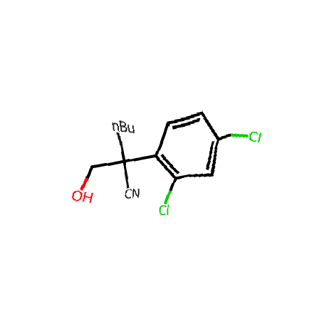 CCCCC(C#N)(CO)c1ccc(Cl)cc1Cl